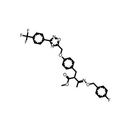 COC(=O)C(Cc1ccc(OCc2nc(-c3ccc(C(F)(F)F)cc3)no2)cc1)C(C)=NOCc1ccc(F)cc1